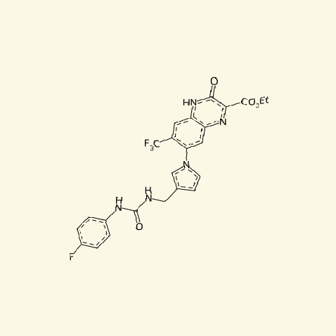 CCOC(=O)c1nc2cc(-n3ccc(CNC(=O)Nc4ccc(F)cc4)c3)c(C(F)(F)F)cc2[nH]c1=O